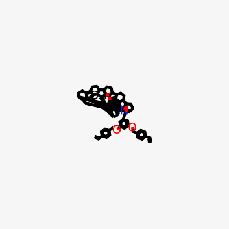 C=Cc1ccc(COc2cc(OCc3ccc(C=C)cc3)cc(C3=NC(c4ccc([N+](=O)[O-])cc4)C45c6c7c8c9c%10c6C6CCC%10C%10CCC%11C%12CCC%13=C%14CCC%15=C(CCC64)C35C3C7=C4C8=C(C%12C%13=C4C%14C%153)C%11C9%10)c2)cc1